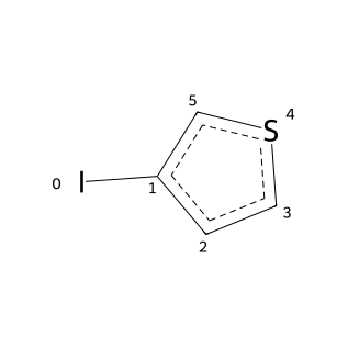 Ic1ccsc1